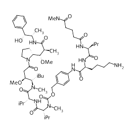 CC[C@@H](C)[C@H]([C@H](CC(=O)N1CCC[C@@H]1[C@@H](OC)[C@H](C)C(=O)N[C@@H](C)[C@H](O)c1ccccc1)OC)N(C)C(=O)[C@H](NC(=O)[C@@H](C(C)C)N(C)C(=O)OCc1ccc(NC(=O)[C@H](CCCCN)NC(=O)[C@@H](NC(=O)CCCC(=O)NC)C(C)C)cc1)C(C)C